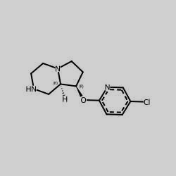 Clc1ccc(O[C@@H]2CCN3CCNC[C@H]23)nc1